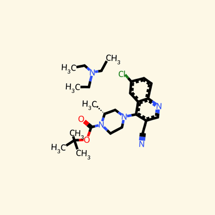 CCN(CC)CC.C[C@@H]1CN(c2c(C#N)cnc3ccc(Cl)cc23)CCN1C(=O)OC(C)(C)C